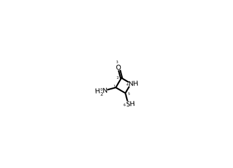 NC1C(=O)NC1S